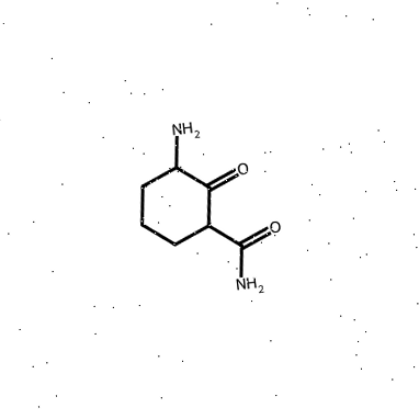 NC(=O)C1CCCC(N)C1=O